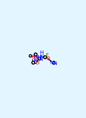 Cc1cccc(C)c1NC(=O)c1cnc(Nc2ccc(OCCCN3CCN(C)CC3)c(F)c2)nc1Oc1ccccc1OC1CCCC1